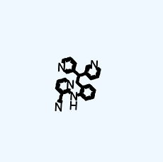 N#Cc1cccnc1Nc1ccccc1CC(c1cccnc1)c1cccnc1